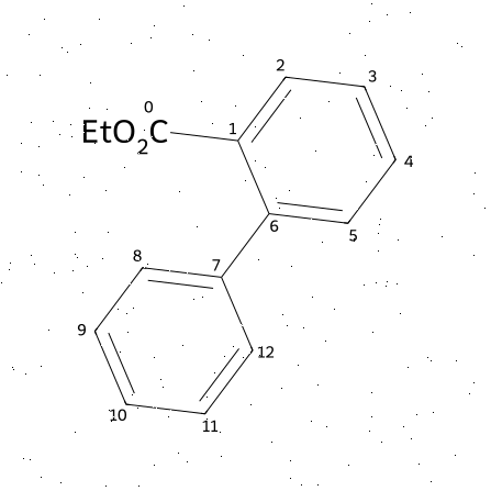 CCOC(=O)c1ccccc1-c1ccccc1